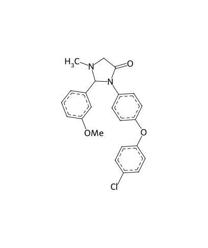 COc1cccc(C2N(C)CC(=O)N2c2ccc(Oc3ccc(Cl)cc3)cc2)c1